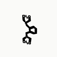 C=CN(C=O)Cc1ccccc1CN(C=C)C=O